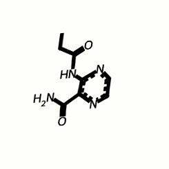 CCC(=O)Nc1nccnc1C(N)=O